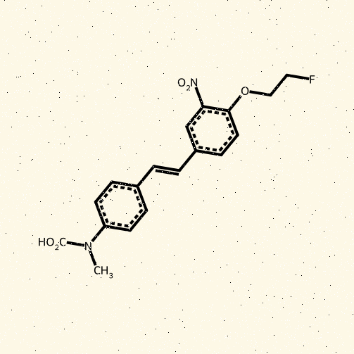 CN(C(=O)O)c1ccc(/C=C/c2ccc(OCCF)c([N+](=O)[O-])c2)cc1